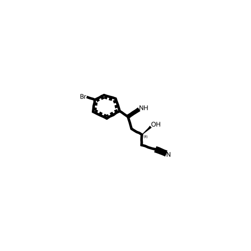 N#CC[C@H](O)CC(=N)c1ccc(Br)cc1